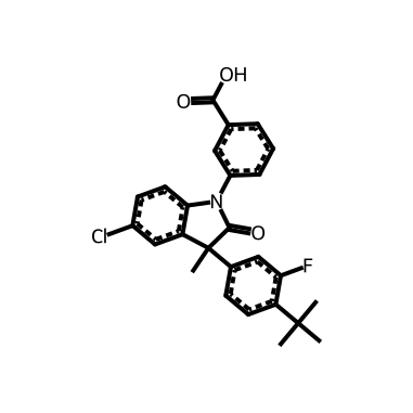 CC(C)(C)c1ccc(C2(C)C(=O)N(c3cccc(C(=O)O)c3)c3ccc(Cl)cc32)cc1F